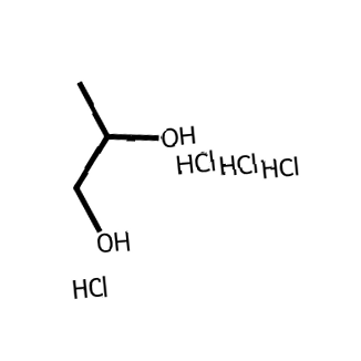 CC(O)CO.Cl.Cl.Cl.Cl